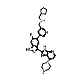 CN1CCN(c2ccnc3[nH]c(-c4n[nH]c5cc(F)c(-c6cncc(CNCC7CCCC7)c6)cc45)nc23)CC1